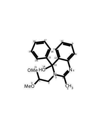 COC(CN1C(C)=Nc2ccccc2C1(O)c1ccccc1)OC